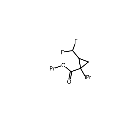 CC(C)OC(=O)C1(C(C)C)CC1C(F)F